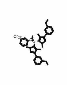 CCc1cccc(C2=CC(C)[C]([Hf+2]([C]3=C(C)C(c4cccc(CC)c4)=CC3C)=[Ge]([CH3])[c]3ccccc3)=C2C)c1.[Cl-].[Cl-]